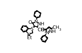 CCN1CS(=C2C(=O)N(c3ccccc3)NC2C)c2ccccc21.Cc1cc(=O)n(-c2ccccc2)[nH]1